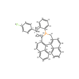 C[Si@H](c1ccc(F)cc1)c1ccccc1P1Cc2ccc3ccccc3c2-c2c(ccc3ccccc23)C1